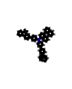 CC1(C)c2ccccc2-c2ccc(-c3ccc(N(c4ccc(-c5ccc(C67CC8CC(CC(C8)C6)C7)cc5)cc4)c4ccc(-c5cccc6cccc(-c7ccccc7)c56)cc4)cc3)cc21